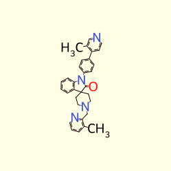 Cc1cnccc1-c1ccc(N2C(=O)C3(CCN(Cc4ncccc4C)CC3)c3ccccc32)cc1